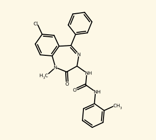 Cc1ccccc1NC(=O)NC1N=C(c2ccccc2)c2cc(Cl)ccc2N(C)C1=O